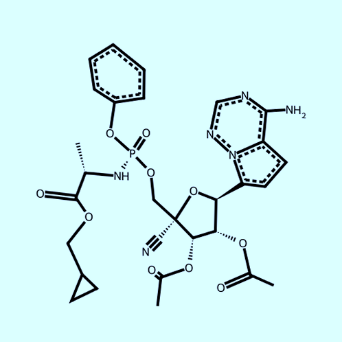 CC(=O)O[C@H]1[C@H](c2ccc3c(N)ncnn23)O[C@](C#N)(CO[P@@](=O)(N[C@@H](C)C(=O)OCC2CC2)Oc2ccccc2)[C@H]1OC(C)=O